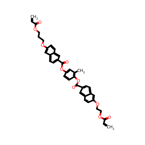 C=CC(=O)OCCCOc1ccc2cc(C(=O)Oc3ccc(OC(=O)c4ccc5cc(OCCOC(=O)C=C)ccc5c4)c(C)c3)ccc2c1